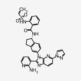 C=CS(=O)(=O)Nc1ccccc1C(=O)N[C@H]1CCc2cc(-n3c(-c4cccnc4N)nc4ccc(-n5cccn5)nc43)ccc21